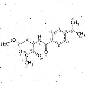 COC(=O)CC(NC(=O)c1ccc(C(C)C)cc1)C(=O)OC